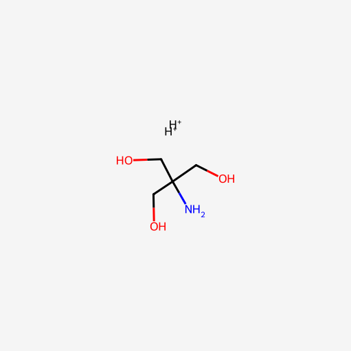 NC(CO)(CO)CO.[H+].[H+]